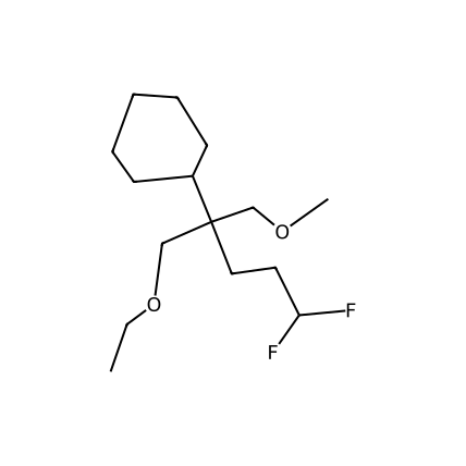 CCOCC(CCC(F)F)(COC)C1CCCCC1